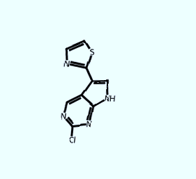 Clc1ncc2c(-c3nccs3)c[nH]c2n1